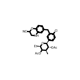 CC[C@H]1O[C@@H](c2ccc(Cl)c(Cc3ccc4c(c3)NCC(C#N)O4)c2)[C@H](OC(C)=O)[C@@H](C)C1OC(C)=O